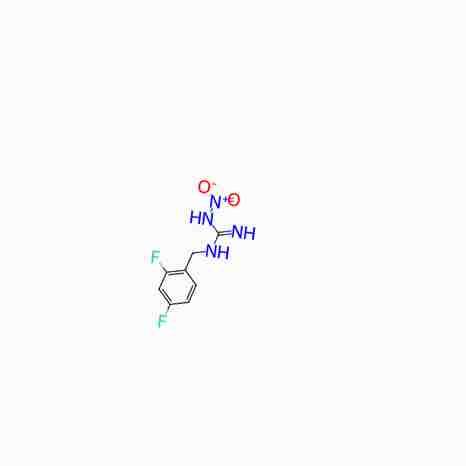 N=C(NCc1ccc(F)cc1F)N[N+](=O)[O-]